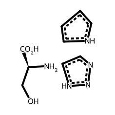 N[C@@H](CO)C(=O)O.c1c[nH]nn1.c1cc[nH]c1